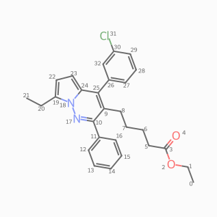 CCOC(=O)CCCCc1c(-c2ccccc2)nn2c(CC)ccc2c1-c1cccc(Cl)c1